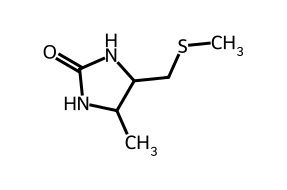 CSCC1NC(=O)NC1C